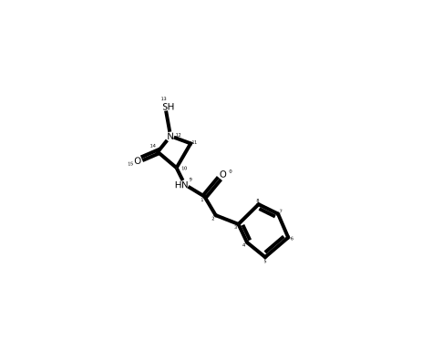 O=C(Cc1ccccc1)NC1CN(S)C1=O